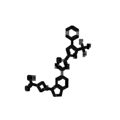 O=C(O)C1CN(C2CCc3ccc(-c4noc(-c5cc(-c6ccccc6)c(C(F)(F)F)s5)n4)cc32)C1